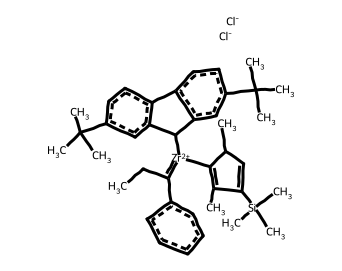 CC/[C](c1ccccc1)=[Zr+2](/[C]1=C(C)C([Si](C)(C)C)=CC1C)[CH]1c2cc(C(C)(C)C)ccc2-c2ccc(C(C)(C)C)cc21.[Cl-].[Cl-]